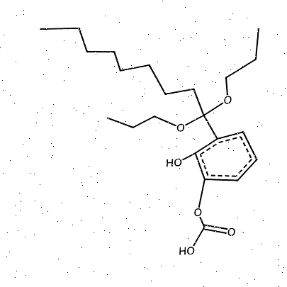 CCCCCCCCC(OCCC)(OCCC)c1cccc(OC(=O)O)c1O